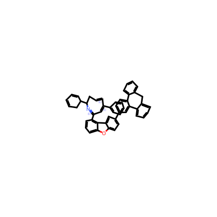 C1=CCC(C2C/C=C/C(c3ccccc3)=C\C(c3cccc4oc5ccc(-c6ccc7c(c6)-c6ccccc6Cc6ccccc6-7)cc5c34)=N/2)C=C1